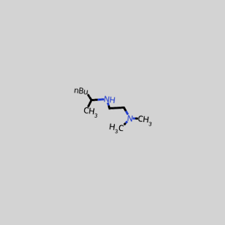 CCCCC(C)NCCN(C)C